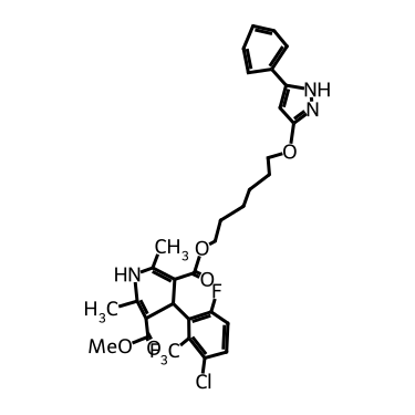 COC(=O)C1=C(C)NC(C)=C(C(=O)OCCCCCCOc2cc(-c3ccccc3)[nH]n2)C1c1c(F)ccc(Cl)c1C(F)(F)F